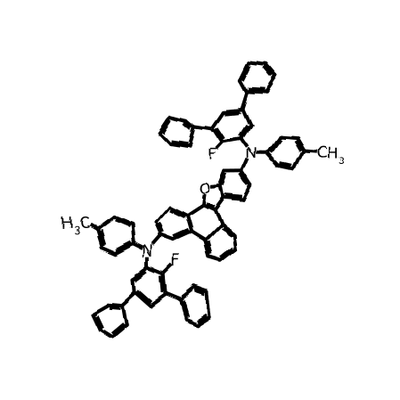 Cc1ccc(N(c2ccc3c(c2)oc2c4ccc(N(c5ccc(C)cc5)c5cc(-c6ccccc6)cc(-c6ccccc6)c5F)cc4c4ccccc4c32)c2cc(-c3ccccc3)cc(-c3ccccc3)c2F)cc1